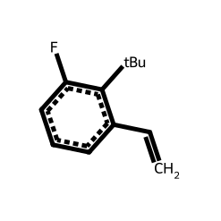 C=Cc1cccc(F)c1C(C)(C)C